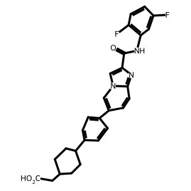 O=C(O)CC1CCC(c2ccc(-c3ccc4nc(C(=O)Nc5cc(F)ccc5F)cn4c3)cc2)CC1